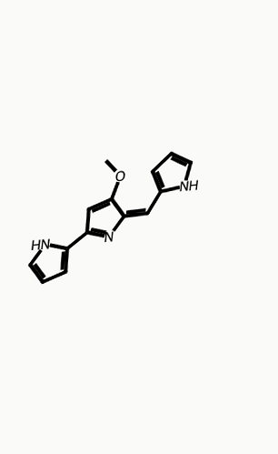 COC1=CC(c2ccc[nH]2)=N/C1=C/c1ccc[nH]1